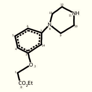 CCOC(=O)COc1cccc(N2CCNCC2)c1